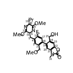 COCc1cc(C[C@@H]2N=C(OC)[C@@H](C(C)C)N=C2OC)c(F)cc1-c1cc2c(cc1CO)oc(=O)n2C